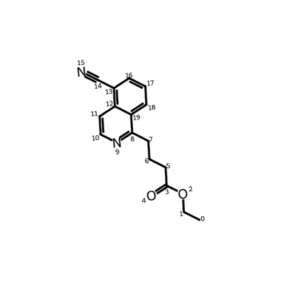 CCOC(=O)CCCc1nccc2c(C#N)cccc12